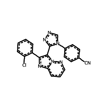 N#Cc1ccc(-n2cnnc2-c2c(-c3ccccc3Cl)nc3cccnn23)cc1